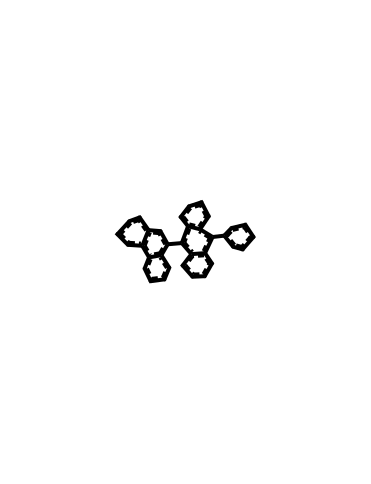 c1ccc(-c2c3ccccc3c(-c3cc4ccccc4c4ccccc34)c3ccccc23)cc1